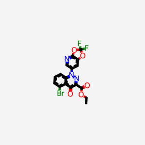 CCOC(=O)c1nn(-c2cnc3c(c2)OC(F)(F)O3)c2cccc(Br)c2c1=O